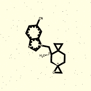 C[C@@]1(Cn2cnc3ccc(C#N)cc32)C[C@@]2(CCC13CC3)CO2